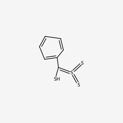 S=S(=S)=C(S)c1ccccc1